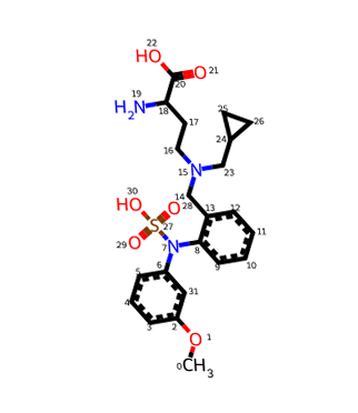 COc1cccc(N(c2ccccc2CN(CCC(N)C(=O)O)CC2CC2)S(=O)(=O)O)c1